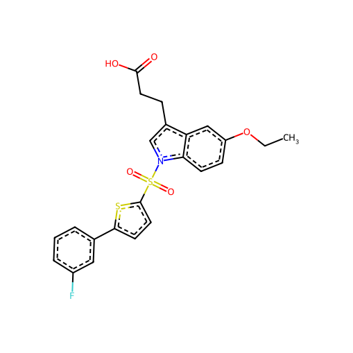 CCOc1ccc2c(c1)c(CCC(=O)O)cn2S(=O)(=O)c1ccc(-c2cccc(F)c2)s1